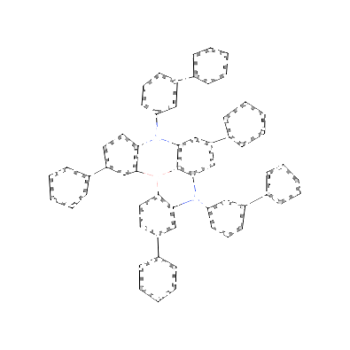 c1ccc(-c2cccc(N3c4ccc(-c5ccccc5)cc4B4c5ccc(-c6ccccc6)cc5N(c5cccc(-c6ccccc6)c5)c5cc(-c6ccccc6)cc3c54)c2)cc1